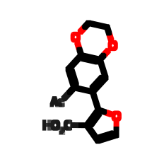 CC(=O)c1cc2c(cc1-c1occc1C(=O)O)OCCO2